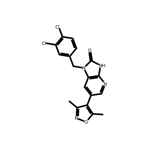 Cc1noc(C)c1-c1cnc2[nH]c(=O)n(Cc3ccc(Cl)c(Cl)c3)c2c1